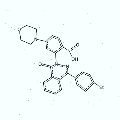 CCc1ccc(-c2nn(-c3cc(N4CCOCC4)ccc3[N+](=O)O)c(=O)c3ccccc23)cc1